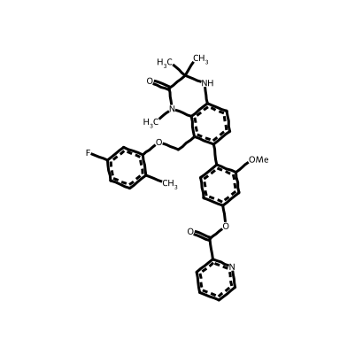 COc1cc(OC(=O)c2ccccn2)ccc1-c1ccc2c(c1COc1cc(F)ccc1C)N(C)C(=O)C(C)(C)N2